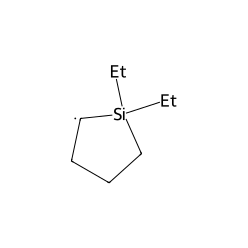 CC[Si]1(CC)[CH]CCC1